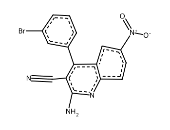 N#Cc1c(N)nc2ccc([N+](=O)[O-])cc2c1-c1cccc(Br)c1